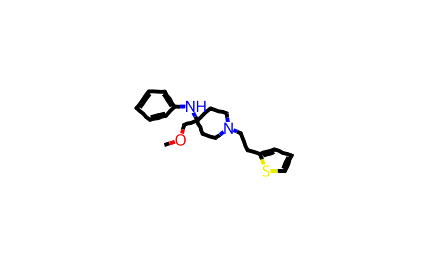 COCC1(Nc2ccccc2)CCN(CCc2cccs2)CC1